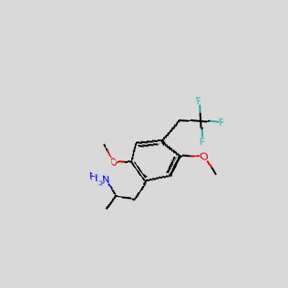 COc1cc(CC(F)(F)F)c(OC)cc1CC(C)N